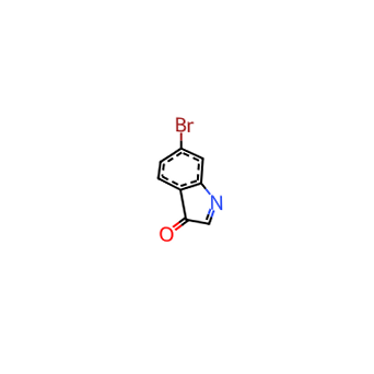 O=C1C=Nc2cc(Br)ccc21